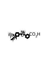 CC(C)n1c(C(C)(F)F)nc2cc(-c3nnc(-c4cccc(C(=O)O)c4)o3)ccc21